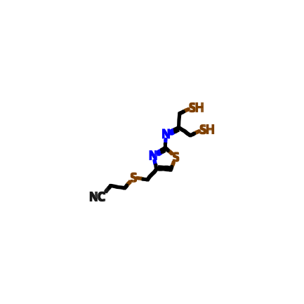 N#CCCSCc1csc(N=C(CS)CS)n1